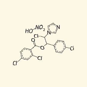 O=C(OC(c1ccc(Cl)cc1)C(Cl)n1ccnc1)c1ccc(Cl)cc1Cl.O=[N+]([O-])O